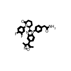 Cc1noc(C)c1-c1ccc2c(c1)nc([C@@H]1CCCC(=O)N1c1ccc(F)c(F)c1)n2-c1ccc(CC(N)=O)cc1